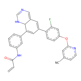 C=CC(=O)Nc1cccc(C2=CC(c3ccc(Oc4cc(C#N)ccn4)cc3F)=CC3=CN=CNC32)c1